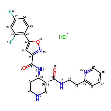 Cl.O=C(N[C@@H]1CCNC[C@H]1C(=O)NCCc1ccccn1)c1cc(-c2ccc(F)cc2F)on1